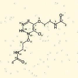 CC(=O)NCCOC1=C(Cl)N(OCCNC(C)=O)NN=C1